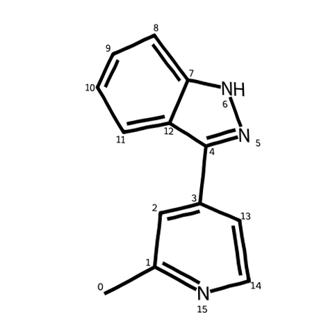 Cc1cc(-c2n[nH]c3ccccc23)ccn1